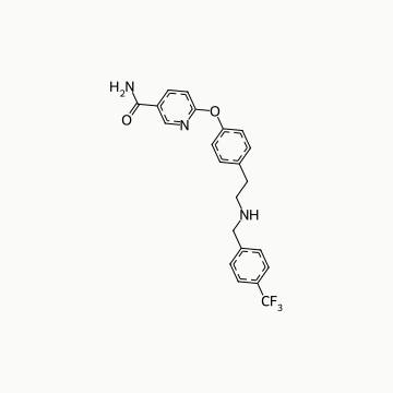 NC(=O)c1ccc(Oc2ccc(CCNCc3ccc(C(F)(F)F)cc3)cc2)nc1